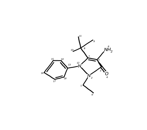 CCn1c(=O)c(N)c(C(C)(C)C)n1-c1ccccc1